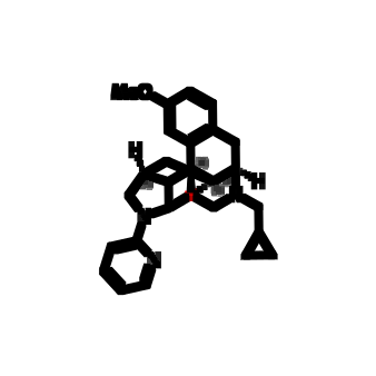 COc1ccc2c(c1)[C@]13CCN(CC4CC4)[C@H](C2)[C@]12CCC1C3[C@@H](CN1c1ccccn1)C2